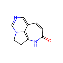 O=C1C=CC2=CN=CN3CCC(=C23)N1